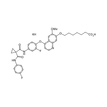 COc1cc2c(Oc3ccc(NC(=O)C4(C(=O)Nc5ccc(F)cc5)CC4)cc3F)ccnc2cc1OCCCCCCC(=O)O.[KH]